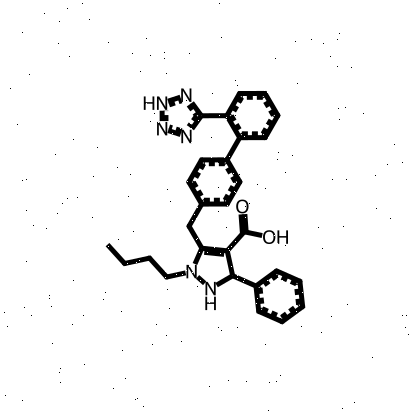 CCCCN1NC(c2ccccc2)C(C(=O)O)=C1Cc1ccc(-c2ccccc2-c2nn[nH]n2)cc1